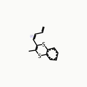 C=C/C=C\C1=C(C)Sc2ccccc2S1